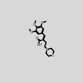 COc1cc(/C=C(/CCN2CCOCC2)C(=O)O)cc(OC)c1OC